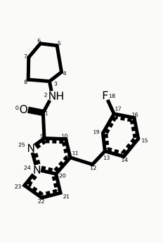 O=C(NC1CCCCC1)c1cc(Cc2cccc(F)c2)c2cccn2n1